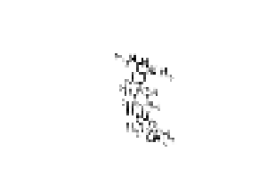 [2H]C1C([2H])C(O)(CC(=O)OC(C)(C)C)C([2H])C([2H])N1c1cc2c(cc1F)c(N)nn2C